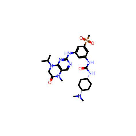 CC(C)N1CC(=O)N(C)c2cnc(Nc3cc(NC(=O)N[C@H]4CC[C@@H](N(C)C)CC4)cc(S(C)(=O)=O)c3)nc21